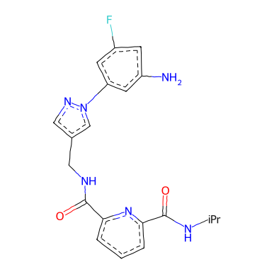 CC(C)NC(=O)c1cccc(C(=O)NCc2cnn(-c3cc(N)cc(F)c3)c2)n1